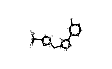 Cc1cccc(-c2csc(Cn3cc(C(=O)O)cn3)n2)c1